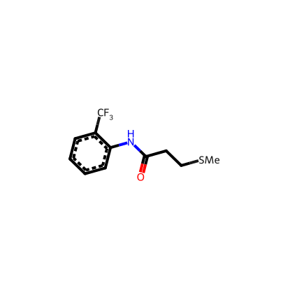 CSCCC(=O)Nc1ccccc1C(F)(F)F